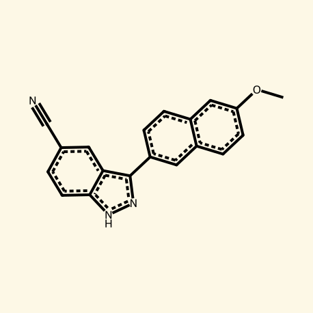 COc1ccc2cc(-c3n[nH]c4ccc(C#N)cc34)ccc2c1